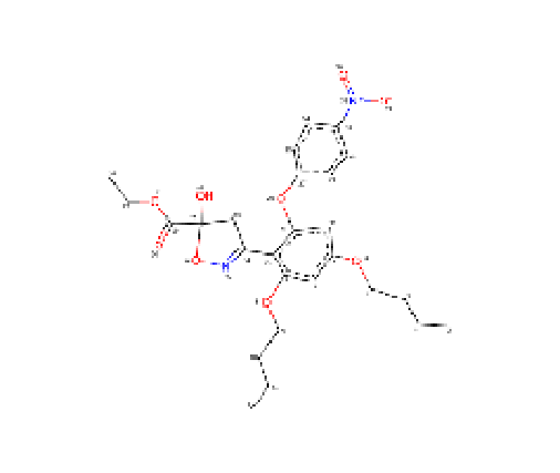 CCCCOc1cc(OCCCC)c(C2=NOC(O)(C(=O)OCC)C2)c(Oc2ccc([N+](=O)[O-])cc2)c1